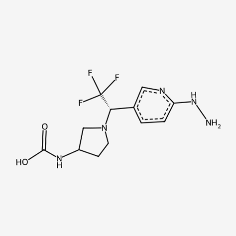 NNc1ccc([C@H](N2CCC(NC(=O)O)C2)C(F)(F)F)cn1